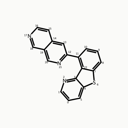 c1cnc2c(c1)sc1cccc(-c3cc4ccncc4cn3)c12